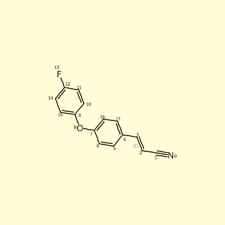 N#C/C=C/c1ccc(Oc2ccc(F)cc2)cc1